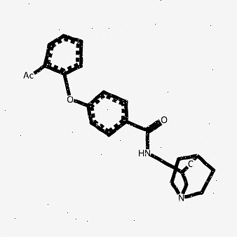 CC(=O)c1ccccc1Oc1ccc(C(=O)NC2CC3CCN(CC3)C2)cc1